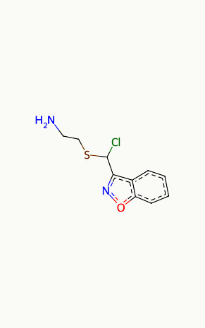 NCCSC(Cl)c1noc2ccccc12